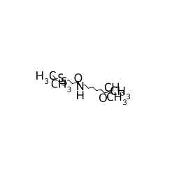 CC(C)SSCCC(=O)NCCCCCC(=O)C(C)(C)C